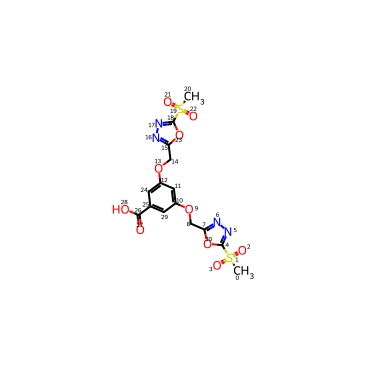 CS(=O)(=O)c1nnc(COc2cc(OCc3nnc(S(C)(=O)=O)o3)cc(C(=O)O)c2)o1